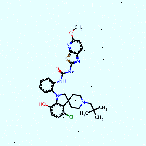 COc1ccc2nc(NC(=O)Nc3ccccc3N3CC4(CCN(CC(C)(C)C)CC4)c4c(Cl)ccc(O)c43)sc2n1